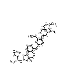 COCC[C@@H](C)O[C@H]1C[C@H]2COc3c(Sc4cnc(N5CCC6(CC5)CO[C@@H](C)[C@H]6N)c(CO)n4)ccnc3N2C1